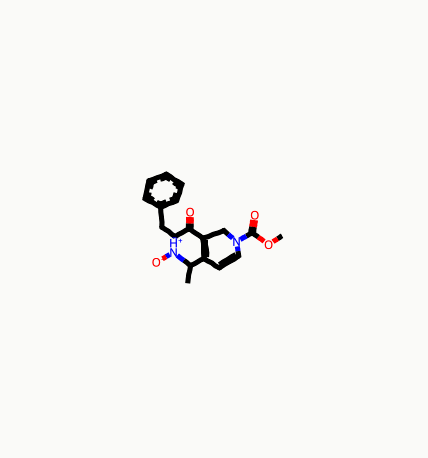 COC(=O)N1C=CC2=C(C1)C(=O)C(Cc1ccccc1)[NH+]([O-])C2C